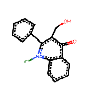 O=c1c(CO)c(-c2ccccc2)n(Cl)c2ccccc12